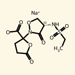 CCS(=O)(=O)N[C@H]1CON(C2(C(=O)[O-])CCC(=O)O2)C1=O.[Na+]